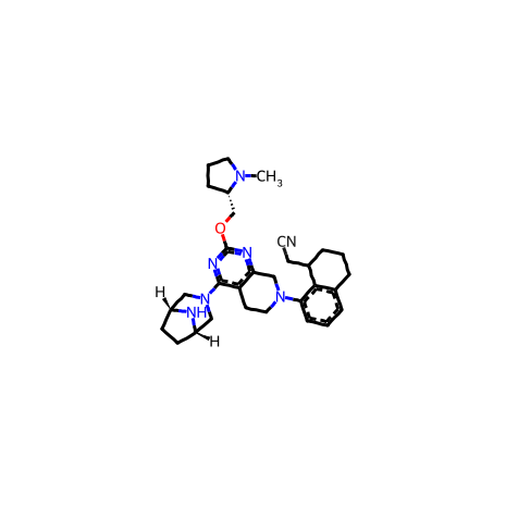 CN1CCC[C@H]1COc1nc2c(c(N3C[C@H]4CC[C@@H](C3)N4)n1)CCN(c1cccc3c1C(CC#N)CCC3)C2